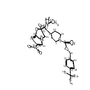 CNC(C1CCN(C(=O)OCc2ccc(C(F)(F)F)cc2)CC1)C1(C)Cn2cc([N+](=O)[O-])nc2O1